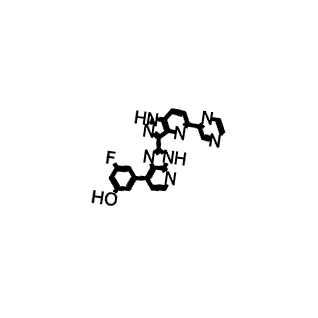 Oc1cc(F)cc(-c2ccnc3[nH]c(-c4n[nH]c5ccc(-c6cnccn6)nc45)nc23)c1